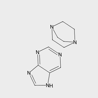 C1CN2CCN1CC2.c1ncc2[nH]cnc2n1